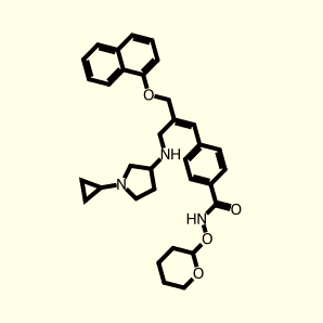 O=C(NOC1CCCCO1)c1ccc(/C=C(\CNC2CCN(C3CC3)C2)COc2cccc3ccccc23)cc1